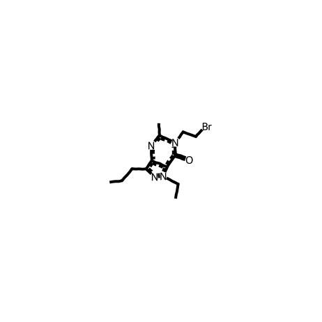 CCCc1nn(CC)c2c(=O)n(CCBr)c(C)nc12